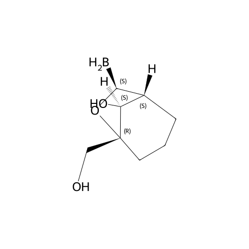 B[C@@H]1O[C@@]2(CO)CCC[C@@H]1[C@@H]2O